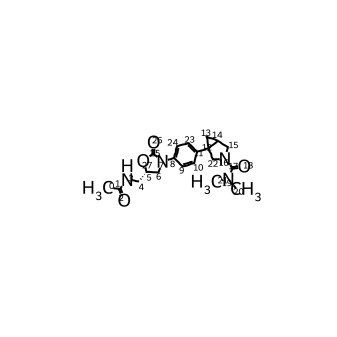 CC(=O)NC[C@H]1CN(c2ccc(C34CC3CN(C(=O)N(C)C)C4)cc2)C(=O)O1